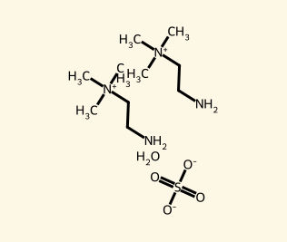 C[N+](C)(C)CCN.C[N+](C)(C)CCN.O.O=S(=O)([O-])[O-]